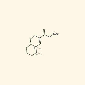 C=C(COC(C)=O)C1=C[C@]2(C)C(CCC[C@H]2C)CC1